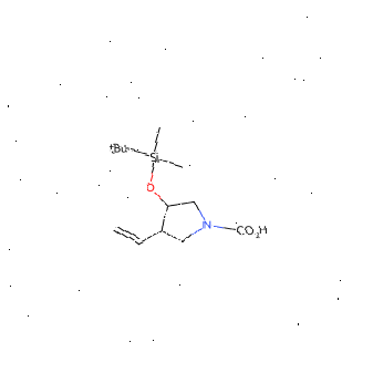 C=CC1CN(C(=O)O)CC1O[Si](C)(C)C(C)(C)C